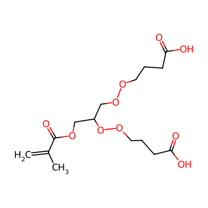 C=C(C)C(=O)OCC(COOCCCC(=O)O)OOCCCC(=O)O